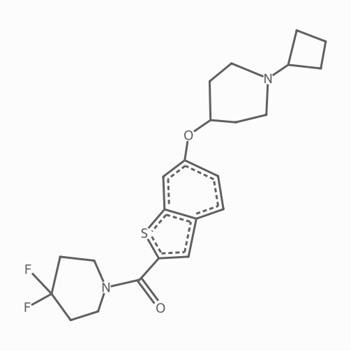 O=C(c1cc2ccc(OC3CCN(C4CCC4)CC3)cc2s1)N1CCC(F)(F)CC1